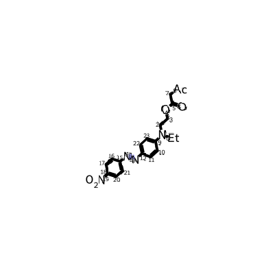 CCN(CCOC(=O)CC(C)=O)c1ccc(/N=N/c2ccc([N+](=O)[O-])cc2)cc1